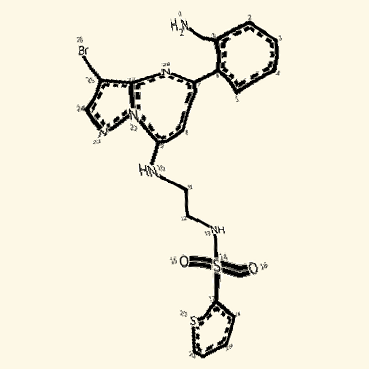 Nc1ccccc1-c1cc(NCCNS(=O)(=O)c2cccs2)n2ncc(Br)c2n1